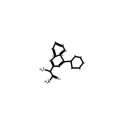 CC(C(N)=O)c1cc(C2CCCCC2)c2ccccc2c1